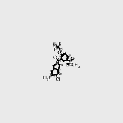 CC1C=C2CN(C(=O)c3cc(S(C)(=O)=O)ccc3OCC(F)(F)F)CC2=CC1Cl